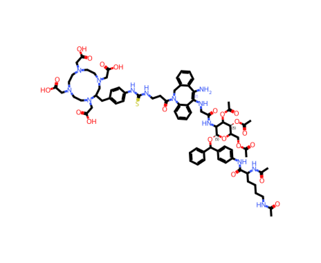 CC(=O)NCCCCC(NC(C)=O)C(=O)Nc1ccc(C(O[C@H]2OC(COC(C)=O)[C@@H](OC(C)=O)C(OC(C)=O)C2NC(=O)CN/C2=C(\N)c3ccccc3CN(C(=O)CCNC(=S)Nc3ccc(CC4CN(CC(=O)O)CCN(CC(=O)O)CCN(CC(=O)O)CCN4CC(=O)O)cc3)c3ccccc32)c2ccccc2)cc1